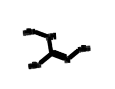 CCCCN=C(CCCC)NCCCC